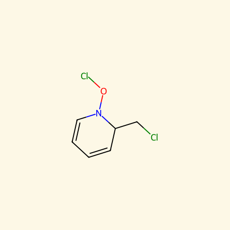 ClCC1C=CC=CN1OCl